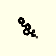 NC(=O)C1CCCc2c(Cc3ccccc3)cccc21